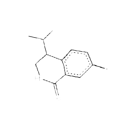 CC(C)C1CNC(=O)c2cc(F)ccc21